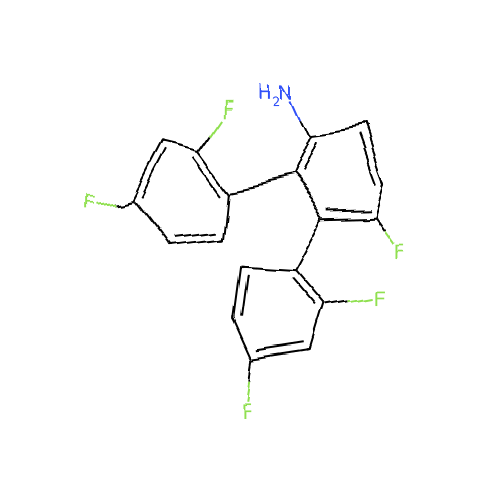 Nc1ccc(F)c(-c2ccc(F)cc2F)c1-c1ccc(F)cc1F